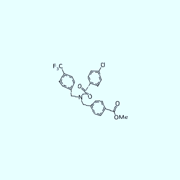 COC(=O)c1ccc(CN(Cc2ccc(C(F)(F)F)cc2)S(=O)(=O)c2ccc(Cl)cc2)cc1